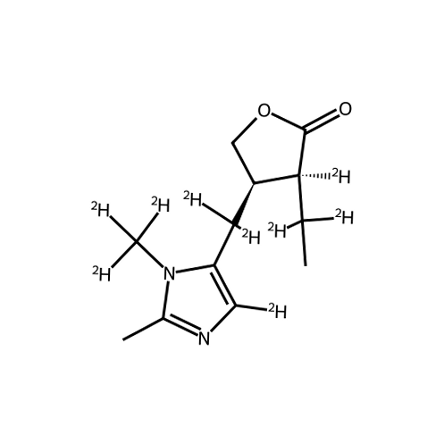 [2H]c1nc(C)n(C([2H])([2H])[2H])c1C([2H])([2H])[C@H]1COC(=O)[C@@]1([2H])C([2H])([2H])C